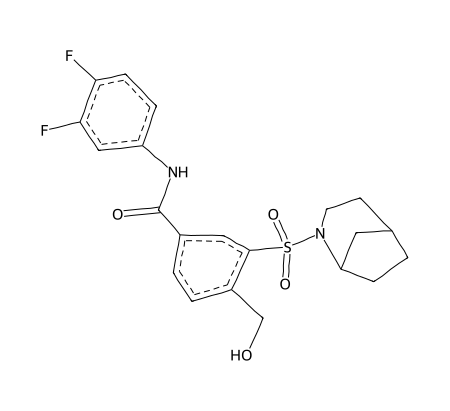 O=C(Nc1ccc(F)c(F)c1)c1ccc(CO)c(S(=O)(=O)N2CCC3CCC2C3)c1